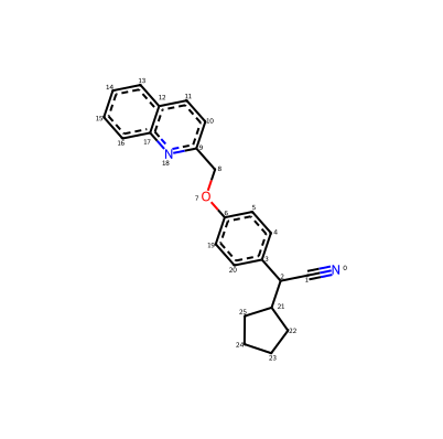 N#CC(c1ccc(OCc2ccc3ccccc3n2)cc1)C1CCCC1